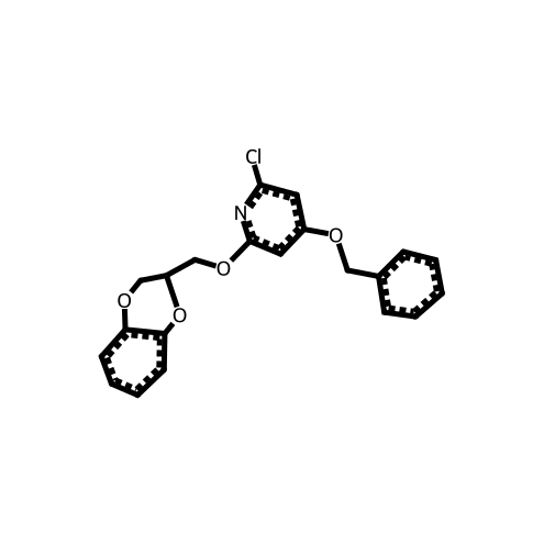 Clc1cc(OCc2ccccc2)cc(OCC2COc3ccccc3O2)n1